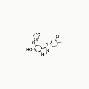 Oc1cc2ncnc(Nc3ccc(F)c(Cl)c3)c2cc1O[C@H]1CCOC1